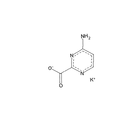 Nc1ccnc(C(=O)[O-])n1.[K+]